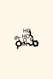 CC1CC[C@@H](C(C)C)[C@H](C(=O)NCCc2ccccc2OCC(O)CO)C1